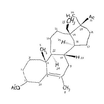 CC(=O)OC1CC[C@@]2(C)C(=C(C)C[C@@H]3[C@@H]2CC[C@@]2(C)[C@H]3CC[C@]2(C)C(C)=O)C1